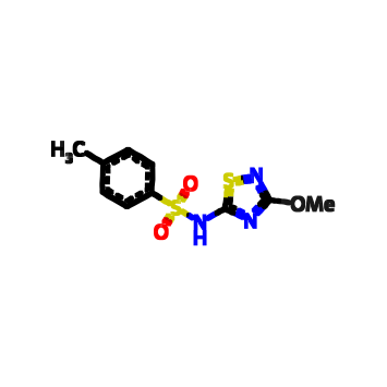 COc1nsc(NS(=O)(=O)c2ccc(C)cc2)n1